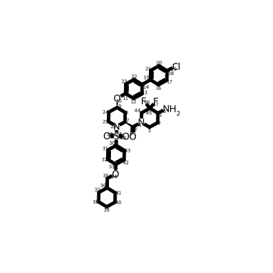 NC1CCN(C(=O)[C@@H]2C[C@@H](Oc3ccc(-c4ccc(Cl)cc4)cc3)CCN2S(=O)(=O)c2ccc(OCC3CCCCC3)cc2)CC1(F)F